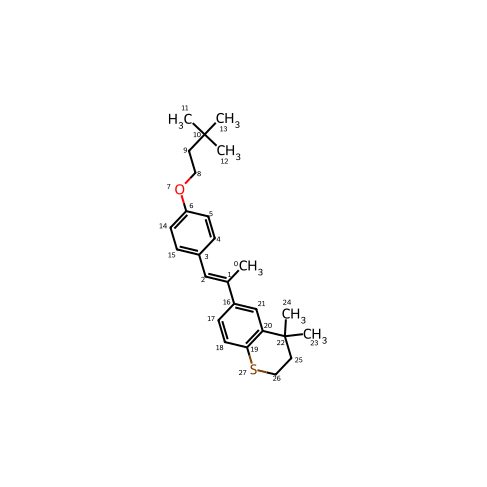 C/C(=C\c1ccc(OCCC(C)(C)C)cc1)c1ccc2c(c1)C(C)(C)CCS2